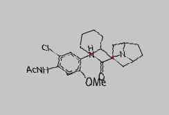 COc1cc(NC(C)=O)c(Cl)cc1NC(=O)C1CC2CCC(C1)N2CC1CCCCC1